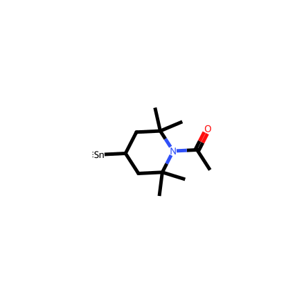 CC(=O)N1C(C)(C)C[CH]([Sn])CC1(C)C